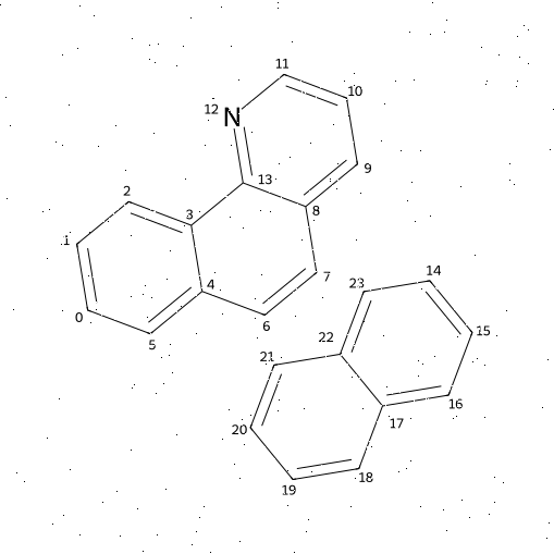 c1ccc2c(c1)ccc1cccnc12.c1ccc2ccccc2c1